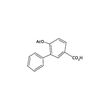 CC(=O)Oc1ccc(C(=O)O)cc1-c1ccccc1